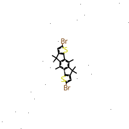 Cc1c2c(c(C)c3c1C(C)(C)c1cc(Br)sc1-3)C(C)(C)c1cc(Br)sc1-2